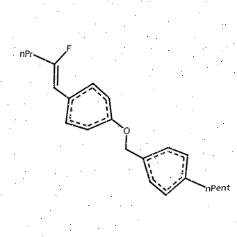 CCCCCc1ccc(COc2ccc(C=C(F)CCC)cc2)cc1